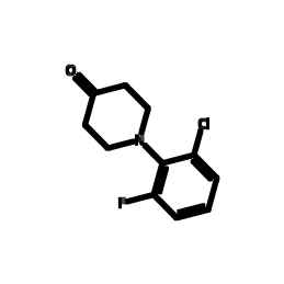 O=C1CCN(c2c(F)cccc2Cl)CC1